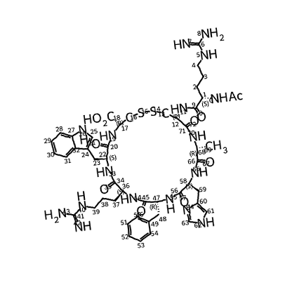 CC(=O)N[C@@H](CCCNC(=N)N)C(=O)N[C@H]1CSSC[C@@H](C(=O)O)NC(=O)[C@H](Cc2c[nH]c3ccccc23)NC(=O)[C@H](CCCNC(=N)N)NC(=O)[C@@H](Cc2ccccc2)NC(=O)[C@H](Cc2c[nH]cn2)NC(=O)[C@@H](C)NC1=O